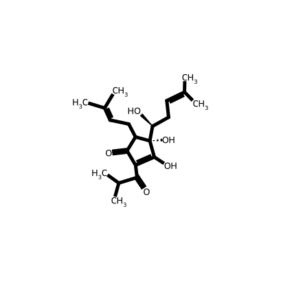 CC(C)=CCC1C(=O)C(C(=O)C(C)C)=C(O)[C@]1(O)[C@@H](O)CC=C(C)C